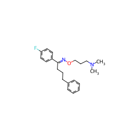 CN(C)CCCON=C(CCCc1ccccc1)c1ccc(F)cc1